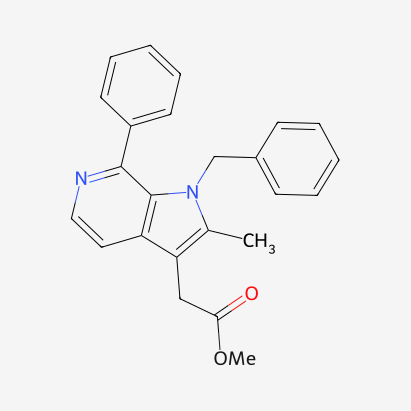 COC(=O)Cc1c(C)n(Cc2ccccc2)c2c(-c3ccccc3)nccc12